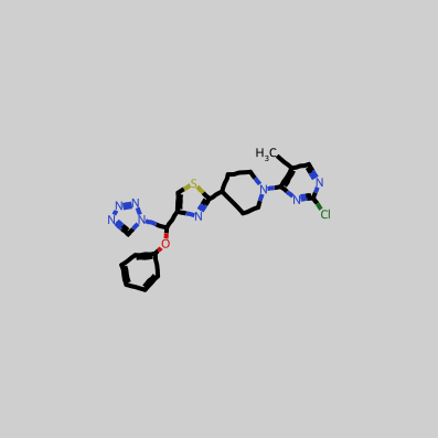 Cc1cnc(Cl)nc1N1CCC(c2nc(C(Oc3ccccc3)n3cnnn3)cs2)CC1